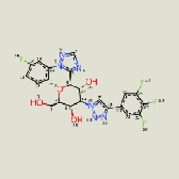 OC[C@H]1O[C@@H](c2ncnn2-c2cccc(F)c2)[C@H](O)[C@@H](n2cc(-c3cc(F)c(F)c(F)c3)nn2)[C@H]1O